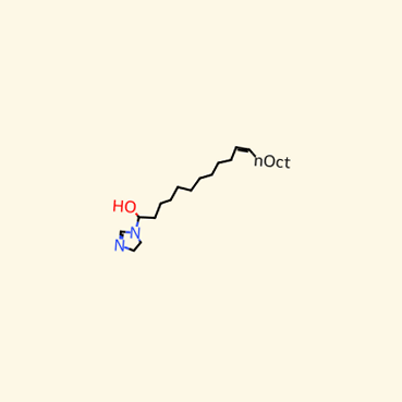 CCCCCCCC/C=C\CCCCCCCCCC(O)N1C=NCC1